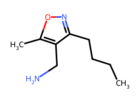 CCCCc1noc(C)c1CN